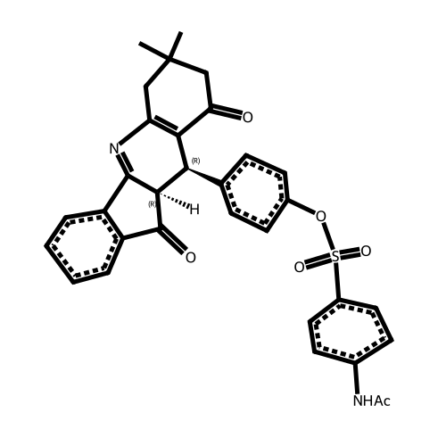 CC(=O)Nc1ccc(S(=O)(=O)Oc2ccc([C@@H]3C4=C(CC(C)(C)CC4=O)N=C4c5ccccc5C(=O)[C@@H]43)cc2)cc1